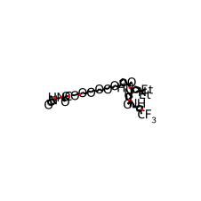 CCN(CC)c1ccc(NC(=O)c2cccc(COCCOCCOCCOCCOCCOCCOC(=O)NCCN3CCOCC3)c2)c(-c2cc(C(=O)NCc3cccc(C(F)(F)F)c3)ccn2)c1